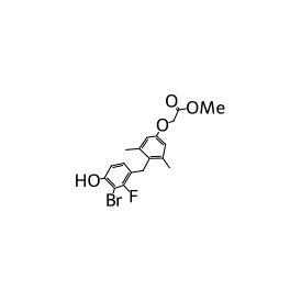 COC(=O)COc1cc(C)c(Cc2ccc(O)c(Br)c2F)c(C)c1